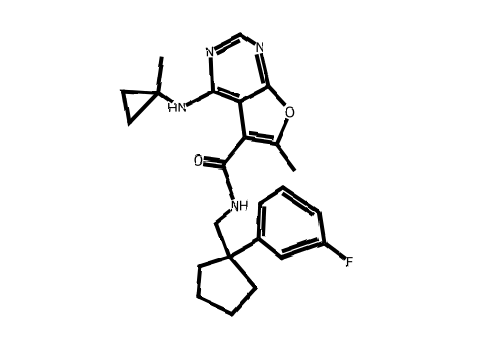 Cc1oc2ncnc(NC3(C)CC3)c2c1C(=O)NCC1(c2cccc(F)c2)CCCC1